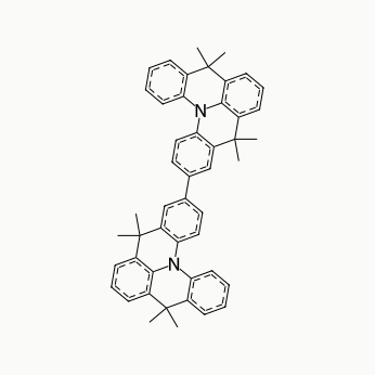 CC1(C)c2ccccc2N2c3ccc(-c4ccc5c(c4)C(C)(C)c4cccc6c4N5c4ccccc4C6(C)C)cc3C(C)(C)c3cccc1c32